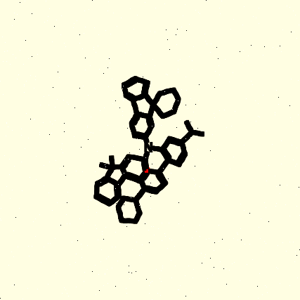 CC(C)c1ccc(-c2ccc(C3CCCCC3)cc2)c(N(c2ccc3c(c2)C(C)(C)c2ccccc2-3)c2ccc3c(c2)C2(CCCCC2)c2ccccc2-3)c1